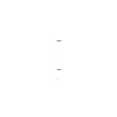 CC(C)(C)OC(=O)NCCCOC(=O)O